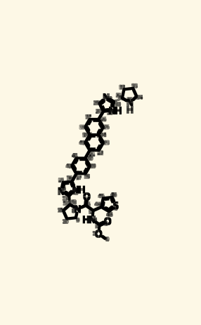 COC(=O)NC(C(=O)N1CCC[C@H]1c1ncc(-c2ccc(-c3ccc4cc(-c5cnc([C@@H]6CCCN6)[nH]5)ccc4c3)cc2)[nH]1)c1ccsc1